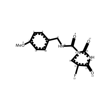 COc1ccc(CNC(=O)n2cc(F)c(=O)[nH]c2=O)cc1